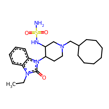 CCn1c(=O)n(C2CCN(CC3CCCCCCC3)CC2NS(N)(=O)=O)c2ccccc21